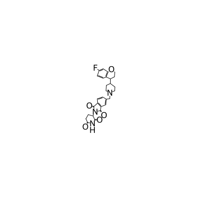 O=C1CCC(N2C(=O)c3ccc(CN4CCC(C5CCOc6cc(F)ccc65)CC4)cc3C2=O)C(=O)N1